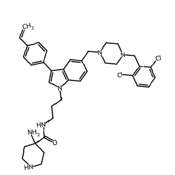 C=Cc1ccc(-c2cn(CCCNC(=O)C3(N)CCNCC3)c3ccc(CN4CCN(Cc5c(Cl)cccc5Cl)CC4)cc23)cc1